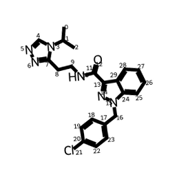 CC(C)n1cnnc1CCNC(=O)c1nn(Cc2ccc(Cl)cc2)c2ccccc12